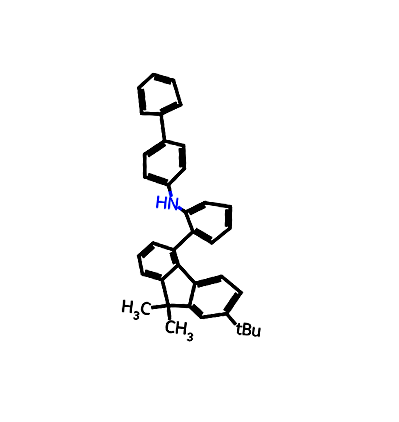 CC(C)(C)c1ccc2c(c1)C(C)(C)c1cccc(-c3ccccc3Nc3ccc(-c4ccccc4)cc3)c1-2